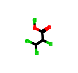 O=C(OCl)C(Cl)C(Cl)Cl